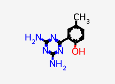 Cc1ccc(O)c(-c2nc(N)nc(N)n2)c1